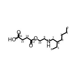 CCCCC(CC)CNCCOC(=O)CCC(=O)O